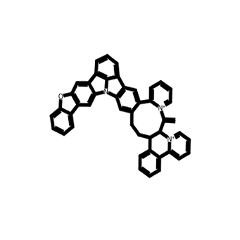 C=C1C2C(CCc3cc4c(cc3-c3cccc[n+]31)c1cccc3c5cc6oc7ccccc7c6cc5n4c13)c1ccccc1-c1cccc[n+]12